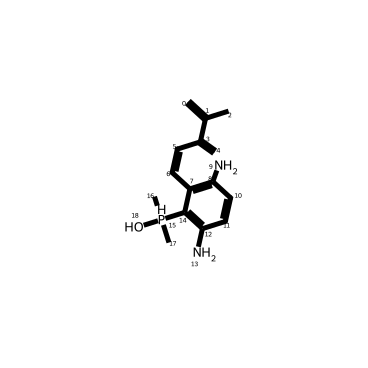 C=C(C)C(=C)/C=C\c1c(N)ccc(N)c1[PH](C)(C)O